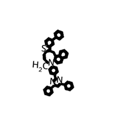 C=C1/C=C\c2sc3ccc(-c4ccccc4)cc3c2Cc2c(ccc3ccccc23)N1c1ccc(-c2nc(-c3ccccc3)cc(-c3ccccc3)n2)cc1